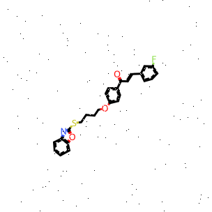 O=C(C=Cc1cccc(F)c1)c1ccc(OCCCCSc2nc3ccccc3o2)cc1